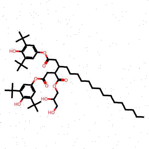 CCCCCCCCCCCCCCCC(CC(=O)Oc1cc(C(C)(C)C)c(O)c(C(C)(C)C)c1)C(CC(=O)Oc1cc(C(C)(C)C)c(O)c(C(C)(C)C)c1)C(=O)OCC(O)CO